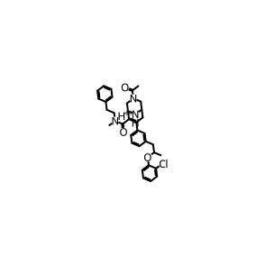 CC(=O)N1CC2CC(c3cccc(CC(C)Oc4ccccc4Cl)c3)=C(C(=O)N(C)CCc3ccccc3)[C@@H](C1)N2